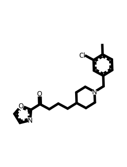 Cc1ccc(CN2CCC(CCCC(=O)c3ncco3)CC2)cc1Cl